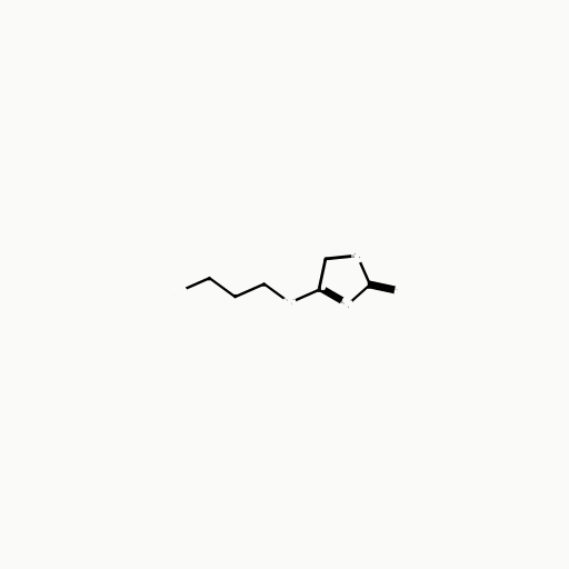 CCCCNC1=NC(=O)NC1